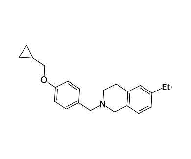 C[CH]c1ccc2c(c1)CCN(Cc1ccc(OCC3CC3)cc1)C2